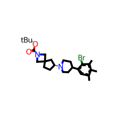 Cc1cc(C2CCN([C@@H]3CCC4(C3)CN(C(=O)OC(C)(C)C)C4)CC2)c(Br)c(C)c1C